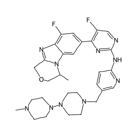 CC1COCc2nc3c(F)cc(-c4nc(Nc5ccc(CN6CCN(N7CCN(C)CC7)CC6)cn5)ncc4F)cc3n21